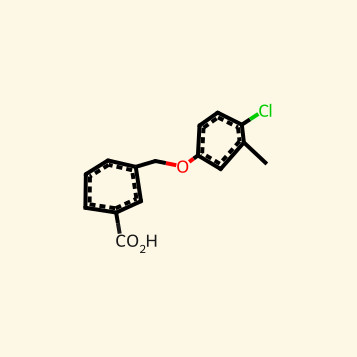 Cc1cc(OCc2cccc(C(=O)O)c2)ccc1Cl